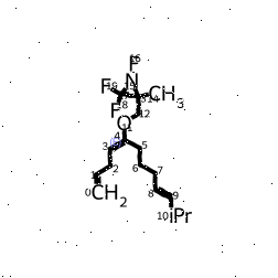 C=CC/C=C(\CCCC=CC(C)C)OCC1(C)N(F)C1(F)F